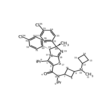 CC(C)C1=C(C(=O)N(C(C)C)C2CC(N(C)C3CCC3)C2)SC2=N[C@@](C)(c3ccc(Cl)cc3)[C@@H](c3ccc(Cl)cc3)N21